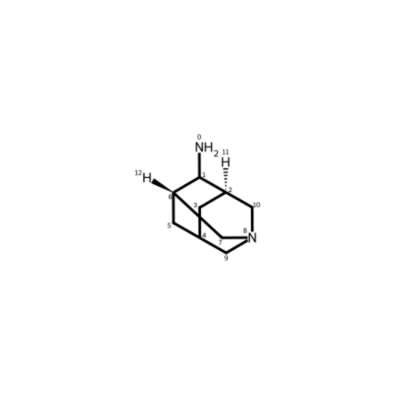 NC1[C@@H]2CC3C[C@H]1CN(C3)C2